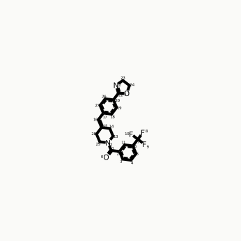 O=C(c1cccc(C(F)(F)F)c1)N1CCC(=Cc2ccc(C3=NCCO3)cc2)CC1